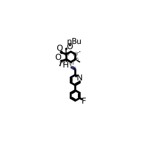 CCCCOC[C@@]12C[C@H](C)[C@@H](C)[C@H](/C=C/c3ccc(-c4cccc(F)c4)cn3)[C@@H]1[C@@H](C)OC2=O